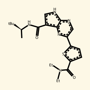 CCN(CC)C(=O)c1ccc(-c2cnc3[nH]cc(C(=O)N[C@@H](C)C(C)(C)C)c3n2)s1